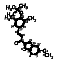 COc1ccc2sc(C(=O)/C=C/c3cc(C)c(OC(C)(C)C)c(C)c3)cc2c1